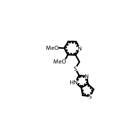 COc1ccnc(CSc2nc3cscc3[nH]2)c1OC